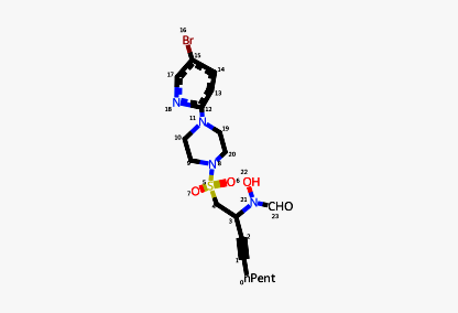 CCCCCC#CC(CS(=O)(=O)N1CCN(c2ccc(Br)cn2)CC1)N(O)C=O